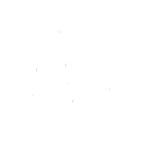 CCCCC1C(F)=C(F)C(F)=C(F)C1(F)CCCC